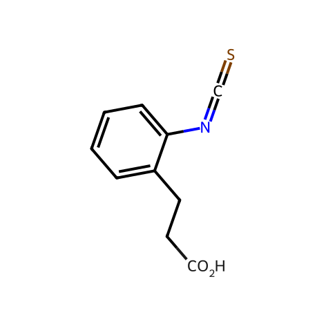 O=C(O)CCc1ccccc1N=C=S